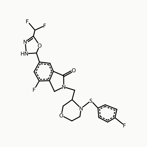 O=C1c2cc(C3NN=C(C(F)F)O3)cc(F)c2CN1CC1COCCN1Sc1ccc(F)cc1